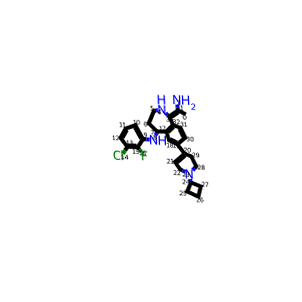 C/C(N)=C1/NCCC(Nc2cccc(Cl)c2F)c2cc(C3=CCN(C4CCC4)CC3)ccc21